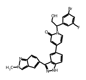 Cn1cc2cc(-c3n[nH]c4ccc(-c5ccn(C(CO)c6cc(F)cc(Br)c6)c(=O)c5)cc34)ccc2n1